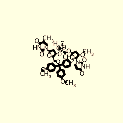 COc1ccc(C(OC[C@H]2O[C@@H](n3cc(C)c(=O)[nH]c3=O)C[C@@H]2OP(=O)(OC)C(C)O[C@@H]2[CH][C@@H](OC)[C@H](n3ccc(=O)[nH]c3=O)O2)(c2ccccc2)c2ccc(OC)cc2)cc1